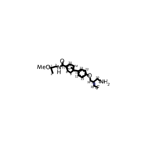 COC(C)CNC(=O)C12CCC(c3ccc(OC/C(=C/F)CN)cc3)(CC1)CC2